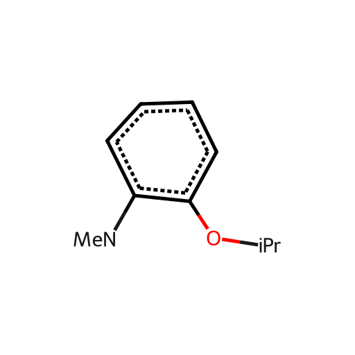 [CH2]Nc1ccccc1OC(C)C